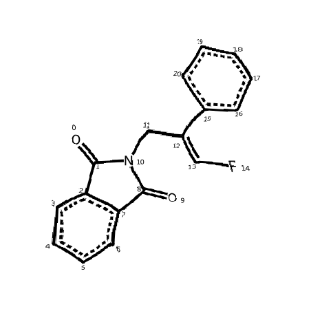 O=C1c2ccccc2C(=O)N1CC(=CF)c1ccccc1